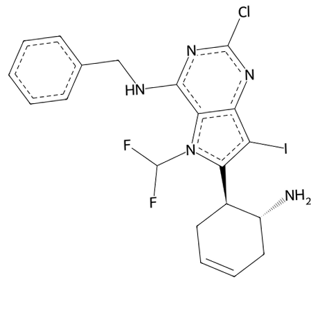 N[C@@H]1CC=CC[C@H]1c1c(I)c2nc(Cl)nc(NCc3ccccc3)c2n1C(F)F